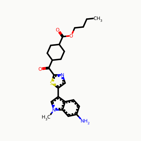 CCCCOC(=O)C1CCC(C(=O)c2ncc(-c3cn(C)c4cc(N)ccc34)s2)CC1